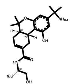 CCCCCCC(C)(C)c1cc(O)c2c(c1)OC(C)(C)[C@@H]1CC=C(C(=O)N[C@H](CO)C(C)(C)C)C[C@@H]21